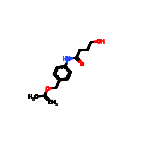 C=C(C)OCc1ccc(NC(=O)CCCO)cc1